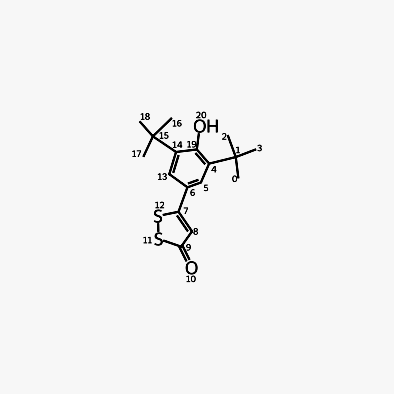 CC(C)(C)c1cc(-c2cc(=O)ss2)cc(C(C)(C)C)c1O